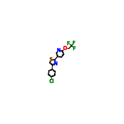 FC(F)(F)COc1ccc(-c2nc(-c3ccc(Cl)cc3)cs2)cn1